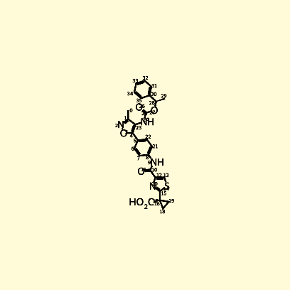 Cc1noc(-c2ccc(NC(=O)c3csc(C4(C(=O)O)CC4)n3)cc2)c1NC(=O)O[C@H](C)c1ccccc1